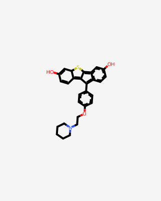 OC1=CC2SC3=c4cc(O)ccc4=C(c4ccc(OCCN5CCCCC5)cc4)C3=C2C=C1